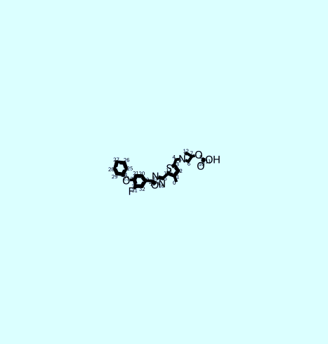 Cc1cc(CN2CC(OC(=O)O)C2)sc1-c1noc(-c2ccc(Oc3ccccc3)c(F)c2)n1